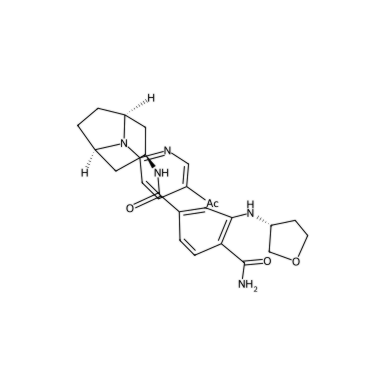 CC(=O)c1ccc(N2[C@@H]3CC[C@H]2C[C@@H](NC(=O)c2ccc(C(N)=O)c(N[C@@H]4CCOC4)c2)C3)nc1